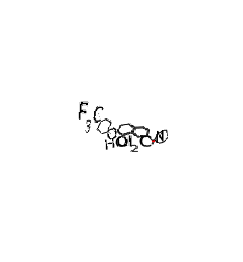 CC(c1ccc2ccc(O[C@H]3CC[C@@H](C(F)(F)F)CC3)c(Cl)c2c1)N1C2CCC1CC(C(=O)O)C2